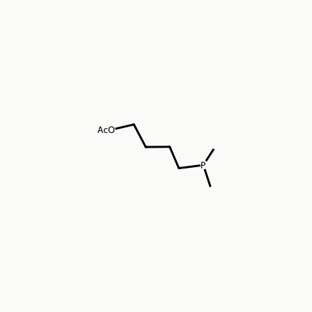 CC(=O)OCCCCP(C)C